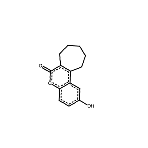 O=c1oc2ccc(O)cc2c2c1CCCCC2